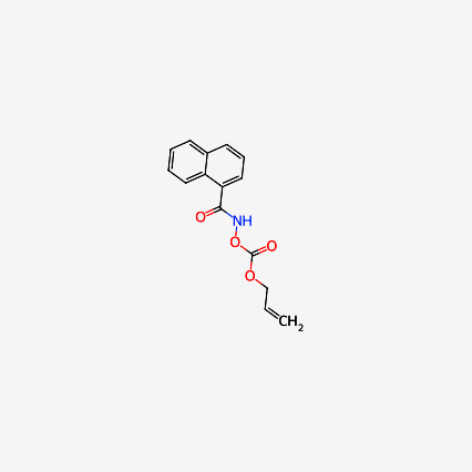 C=CCOC(=O)ONC(=O)c1cccc2ccccc12